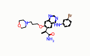 C=C(C(N)=O)c1cc2c(Nc3cccc(Br)c3)ncnc2cc1OCCCN1CCOCC1